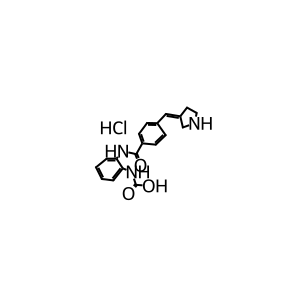 Cl.O=C(O)Nc1ccccc1NC(=O)c1ccc(C=C2CCNC2)cc1